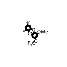 COc1cc(OC(F)(F)F)ccc1Oc1cc(Br)cc(F)c1C(=O)O